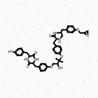 CC(C)(Oc1ccc(CC2NCC(Cc3ccc(OCC4CO4)cc3)NC2=O)cc1)C(O)COc1ccc(CC2NC(=O)C(Cc3ccc(O)cc3)NC2=O)cc1